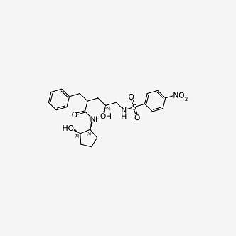 O=C(N[C@H]1CCC[C@H]1O)C(Cc1ccccc1)C[C@H](O)CNS(=O)(=O)c1ccc([N+](=O)[O-])cc1